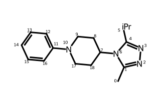 Cc1nnc(C(C)C)n1C1CCN(c2c[c]ccc2)CC1